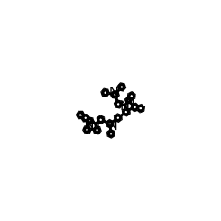 c1ccc(-c2cc(-c3cccc(N4c5cc(-c6ccc(-c7cc(-c8cccc(N9c%10ccccc%10-c%10ccccc%10-n%10c9cc9cc%11ccccc%11cc9%10)c8)cc(-c8ccccc8)n7)cc6)ccc5-c5cc6ccccc6cc5-n5c4cc4ccccc45)c3)cc(-c3ccccc3)n2)cc1